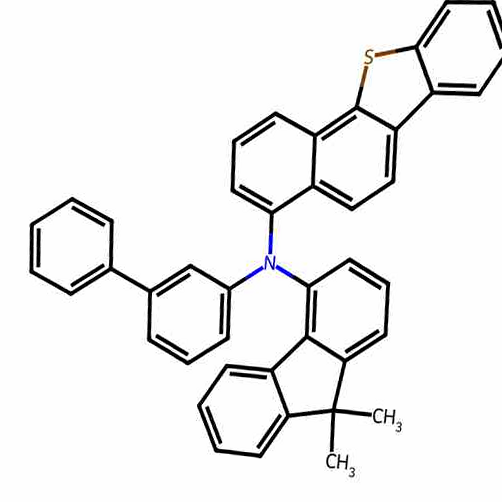 CC1(C)c2ccccc2-c2c(N(c3cccc(-c4ccccc4)c3)c3cccc4c3ccc3c5ccccc5sc43)cccc21